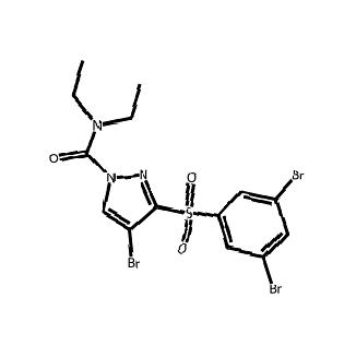 CCN(CC)C(=O)n1cc(Br)c(S(=O)(=O)c2cc(Br)cc(Br)c2)n1